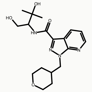 CC(C)(O)C(CO)NC(=O)c1nn(CC2CCOCC2)c2ncccc12